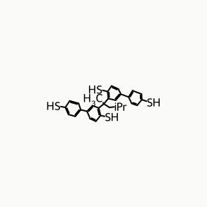 CC(C)CC(C)(c1cc(-c2ccc(S)cc2)ccc1S)c1cc(-c2ccc(S)cc2)ccc1S